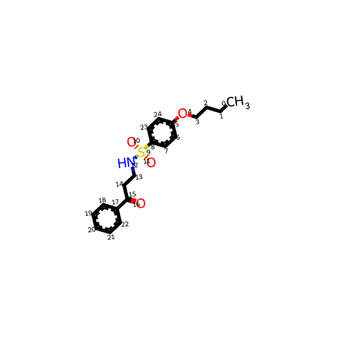 CCCCOc1ccc(S(=O)(=O)NCCC(=O)c2ccccc2)cc1